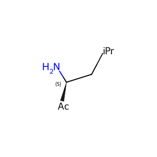 [CH2]C(=O)[C@@H](N)CC(C)C